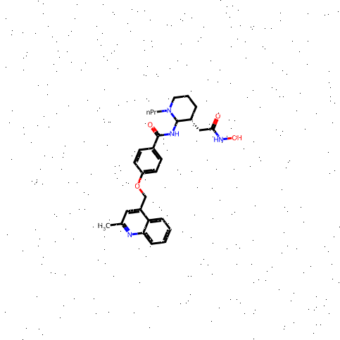 CCCN1CCC[C@H](CC(=O)NO)C1NC(=O)c1ccc(OCc2cc(C)nc3ccccc23)cc1